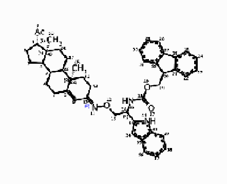 CC(=O)[C@H]1CCC2C3CCC4=C/C(=N/OC[C@@H](NC(=O)OCC5c6ccccc6-c6ccccc65)c5cc6ccccc6[nH]5)CC[C@]4(C)C3CC[C@@]21C